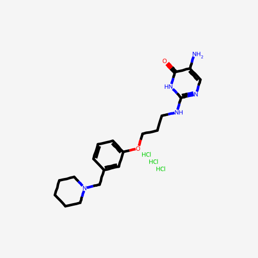 Cl.Cl.Cl.Nc1cnc(NCCCOc2cccc(CN3CCCCC3)c2)[nH]c1=O